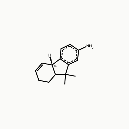 CC1(C)c2cc(N)ccc2[C@H]2C=CCCC21